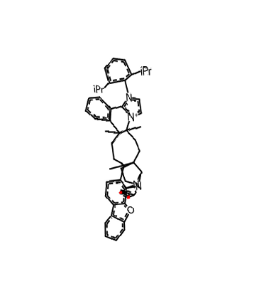 CC(C)c1cccc(C(C)C)c1-n1cc[n+]2c1-c1ccccc1C1(C)CCC3(C)c4ccc5c(oc6ccccc65)c4N4c5ccccc5N5CCC3(CCC21C)C54